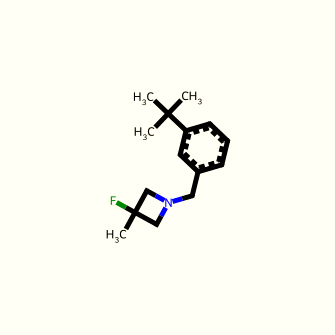 CC1(F)CN(Cc2cccc(C(C)(C)C)c2)C1